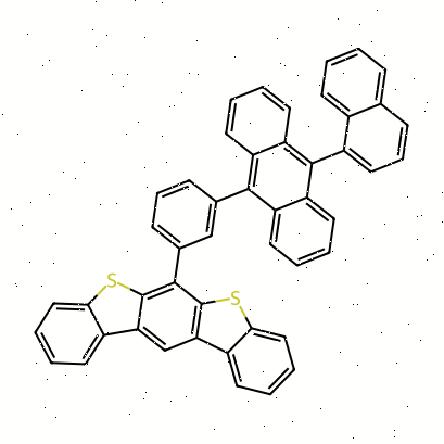 c1cc(-c2c3ccccc3c(-c3cccc4ccccc34)c3ccccc23)cc(-c2c3sc4ccccc4c3cc3c2sc2ccccc23)c1